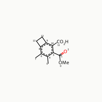 COC(=O)c1c(C)c(C)c2c(c1C(=O)O)CC2